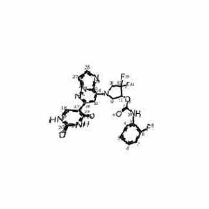 O=C(Nc1ccccc1F)O[C@H]1CN(c2cc(-c3c[nH]c(=O)[nH]c3=O)nn3ccnc23)CC1(F)F